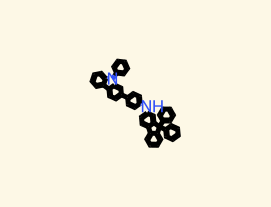 c1ccc(-n2c3ccccc3c3ccc(-c4ccc(Nc5ccc6c(c5)C(c5ccccc5)(c5ccccc5)c5ccccc5-6)cc4)cc32)cc1